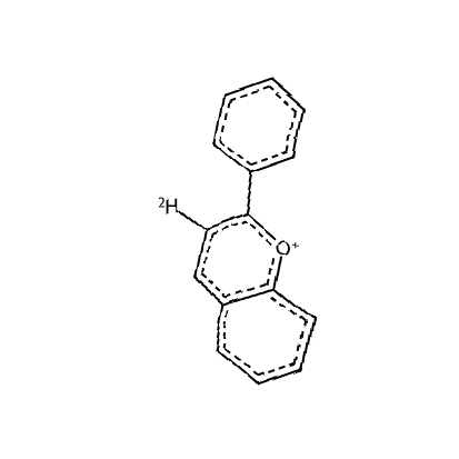 [2H]c1cc2ccccc2[o+]c1-c1ccccc1